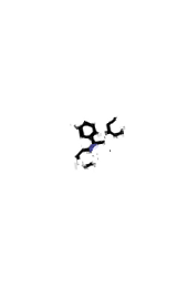 Nc1ccc2c(c1)/C(=C1\CCNCCN1)C(=O)N2C1CCOCC1